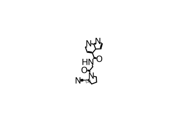 N#C[C@@H]1CCCN1C(=O)CNC(=O)C1=CC=NC2=NC=CC12